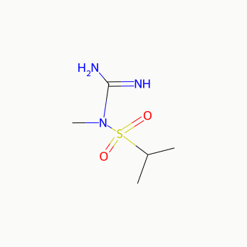 CC(C)S(=O)(=O)N(C)C(=N)N